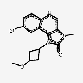 COC1CC(n2c(=O)n(C)c3cnc4ccc(Br)cc4c32)C1